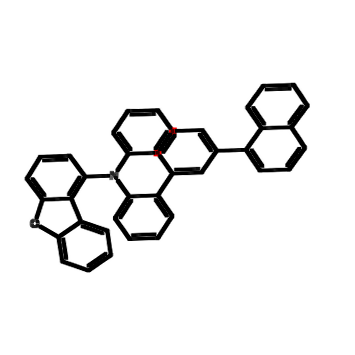 c1ccc(N(c2ccccc2-c2cccc(-c3cccc4ccccc34)c2)c2cccc3oc4ccccc4c23)cc1